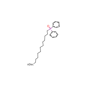 CCCCCCCCCCCCCCCCCCCCCCP(=O)(c1ccccc1)c1ccccc1